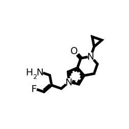 NC/C(=C\F)Cn1cc2c(c1)C(=O)N(C1CC1)CC2